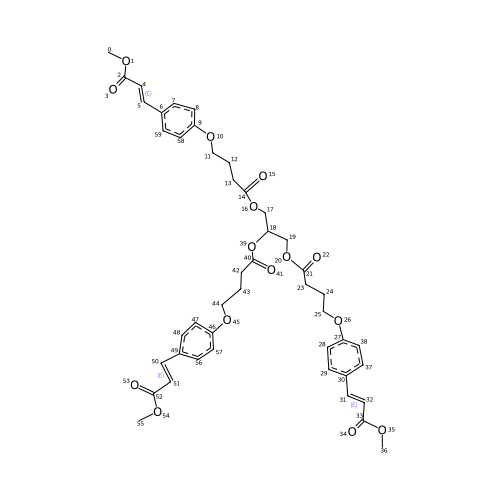 COC(=O)/C=C/c1ccc(OCCCC(=O)OCC(COC(=O)CCCOc2ccc(/C=C/C(=O)OC)cc2)OC(=O)CCCOc2ccc(/C=C/C(=O)OC)cc2)cc1